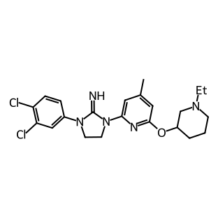 CCN1CCCC(Oc2cc(C)cc(N3CCN(c4ccc(Cl)c(Cl)c4)C3=N)n2)C1